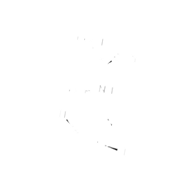 O=C[C@H](CC(=O)O)NC(=O)C1N[C@@H]2CC[C@H]1C2